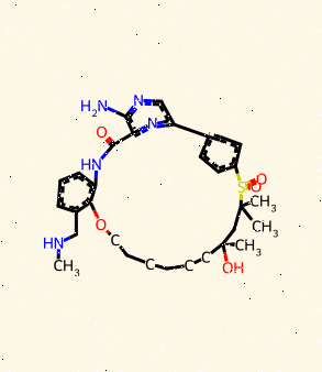 CNCc1cccc2c1OCCCCCC[C@@](C)(O)CC(C)(C)S(=O)(=O)c1ccc(cc1)-c1cnc(N)c(n1)C(=O)N2